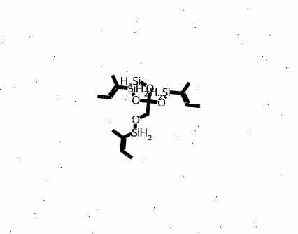 CC=C(C)[SiH2]OCC(O[SiH3])(O[SiH2]C(C)=CC)O[SiH2]C(C)=CC